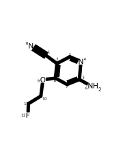 N#Cc1cnc(N)cc1OCCF